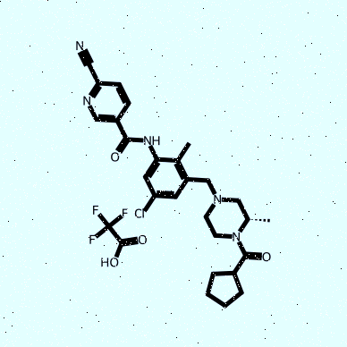 Cc1c(CN2CCN(C(=O)C3CCCC3)[C@@H](C)C2)cc(Cl)cc1NC(=O)c1ccc(C#N)nc1.O=C(O)C(F)(F)F